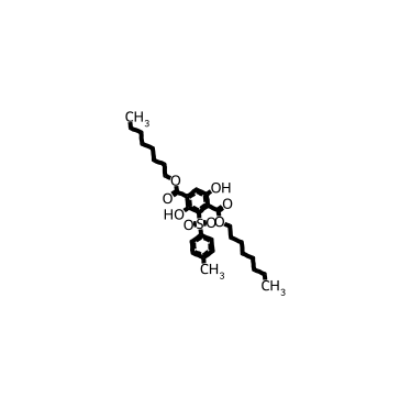 CCCCCCCCOC(=O)c1cc(O)c(C(=O)OCCCCCCCC)c(S(=O)(=O)c2ccc(C)cc2)c1O